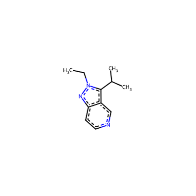 CCn1nc2ccncc2c1C(C)C